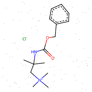 CC(C)(C[N+](C)(C)C)NC(=O)OCc1ccccc1.[Cl-]